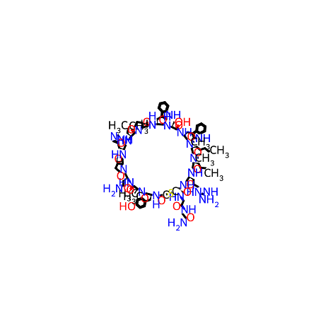 CCCCC[C@H]1C(=O)N(C)[C@@H](CCCC)C(=O)N[C@@H](CCCNC(=N)N)C(=O)N[C@H](C(=O)NCC(=O)NCC(N)=O)CSCC(=O)N[C@@H](Cc2ccc(O)cc2)C(=O)N(C)[C@@H](C)C(=O)N[C@@H](CC(N)=O)C(=O)N2CCC[C@H]2C(=O)N[C@@H](Cc2cnc[nH]2)C(=O)N[C@@H](CC(C)C)C(=O)N2CCC[C@H]2C(=O)N[C@@H](Cc2c[nH]c3ccccc23)C(=O)N[C@@H](CO)C(=O)N[C@@H](Cc2c[nH]c3ccccc23)C(=O)N1C